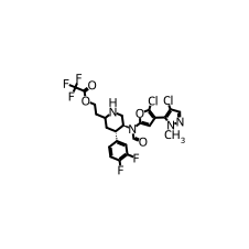 Cn1ncc(Cl)c1-c1cc(N(C=O)[C@@H]2CNC(CCOC(=O)C(F)(F)F)C[C@H]2c2ccc(F)c(F)c2)oc1Cl